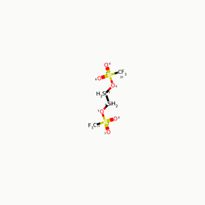 O=S(=O)(O[SiH2][SiH2]OS(=O)(=O)C(F)(F)F)C(F)(F)F